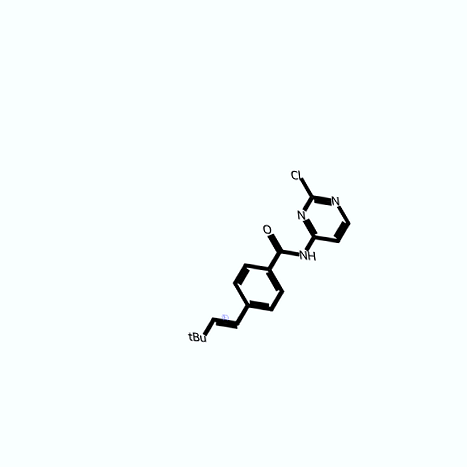 CC(C)(C)/C=C/c1ccc(C(=O)Nc2ccnc(Cl)n2)cc1